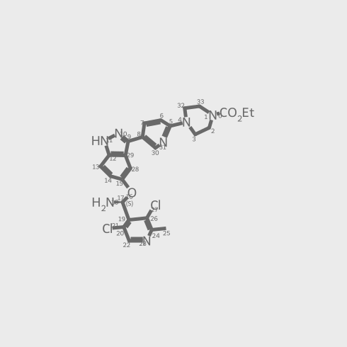 CCOC(=O)N1CCN(c2ccc(-c3n[nH]c4ccc(O[C@H](N)c5c(Cl)cnc(C)c5Cl)cc34)cn2)CC1